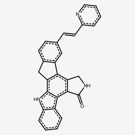 O=C1NCc2c3c(c4[nH]c5ccccc5c4c21)Cc1ccc(C=Cc2ccccn2)cc1-3